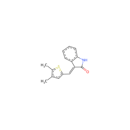 Cc1cc(/C=C2/C(=O)Nc3ccccc32)sc1C